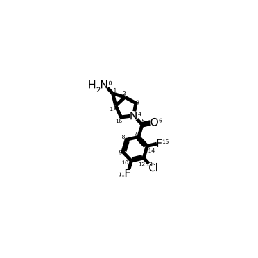 NC1C2CN(C(=O)c3ccc(F)c(Cl)c3F)CC12